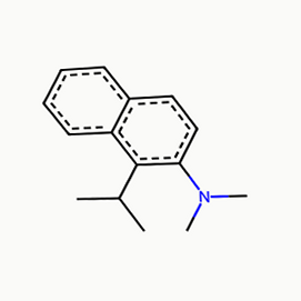 CC(C)c1c(N(C)C)ccc2ccccc12